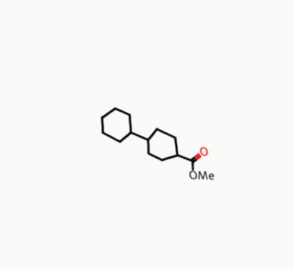 COC(=O)C1CCC(C2CCCCC2)CC1